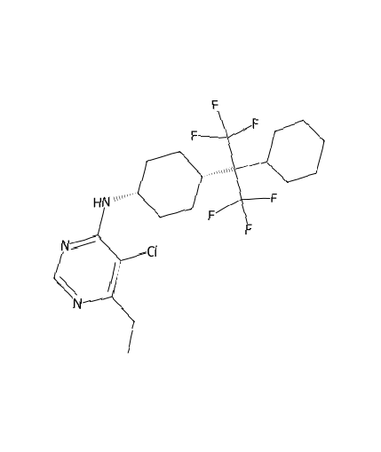 CCc1ncnc(N[C@H]2CC[C@@H](C(C3CCCCC3)(C(F)(F)F)C(F)(F)F)CC2)c1Cl